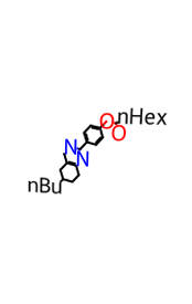 CCCCCCC(=O)Oc1ccc(-c2ncc3c(n2)CCC(CCCC)C3)cc1